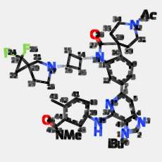 CC[C@H](C)n1cnc2cc(-c3ccc4c(c3)N([C@H]3C[C@@H](N5CCC6(C5)CC6(F)F)C3)C(=O)C43CCN(C(C)=O)CC3)nc(Nc3ccc(C)c(C(=O)NC)c3)c21